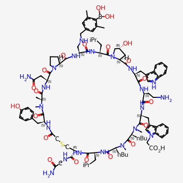 CCCC[C@H]1C(=O)N(C)[C@@H](CCCC)C(=O)N[C@@H](CC(C)C)C(=O)N[C@H](C(=O)NCC(N)=O)CSCC(=O)N[C@@H](Cc2ccc(O)cc2)C(=O)N(C)[C@@H](C)C(=O)N[C@@H](CC(N)=O)C(=O)N2CCC[C@H]2C(=O)N[C@@H](CNCc2cc(C)c(B(O)O)c(C)c2)C(=O)N[C@@H](CC(C)C)C(=O)N2C[C@H](O)C[C@H]2C(=O)N[C@@H](Cc2c[nH]c3ccccc23)C(=O)N[C@@H](CCN)C(=O)N[C@@H](Cc2cn(CC(=O)O)c3ccccc23)C(=O)N1C